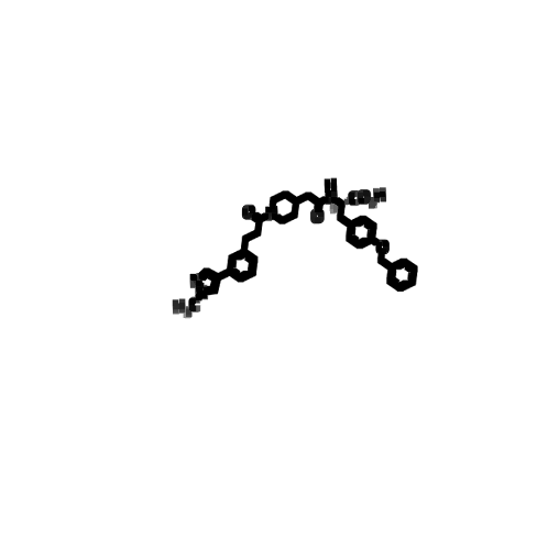 Cn1cc(-c2cccc(CCC(=O)N3CCC(CC(=O)N[C@@H](Cc4ccc(OCc5ccccc5)cc4)C(=O)O)CC3)c2)cn1